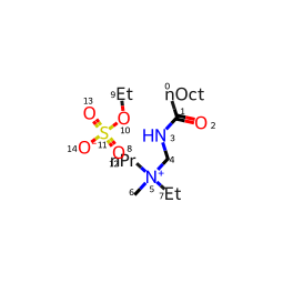 CCCCCCCCC(=O)NC[N+](C)(CC)CCC.CCOS(=O)(=O)[O-]